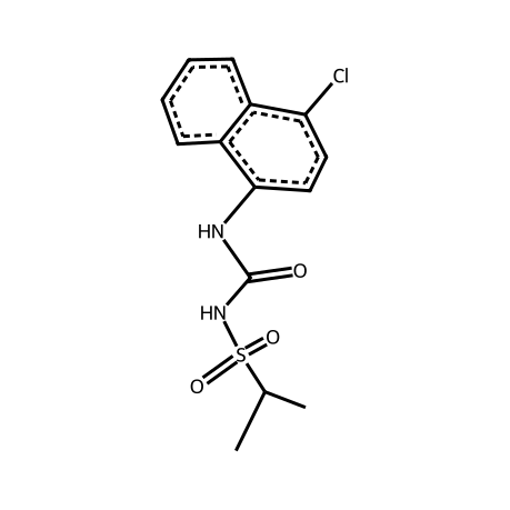 CC(C)S(=O)(=O)NC(=O)Nc1ccc(Cl)c2ccccc12